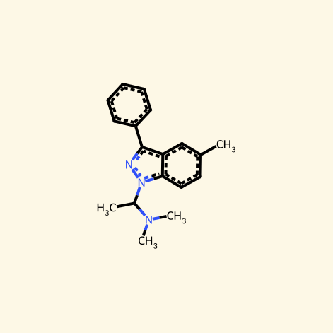 Cc1ccc2c(c1)c(-c1ccccc1)nn2C(C)N(C)C